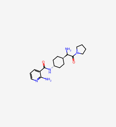 Nc1ncccc1C(=O)N[C@H]1CC[C@H](C(N)C(=O)N2CCCC2)CC1